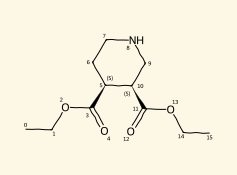 CCOC(=O)[C@H]1CCNC[C@H]1C(=O)OCC